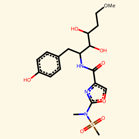 COCCC(O)C(O)C(Cc1ccc(O)cc1)NC(=O)c1coc(N(C)S(C)(=O)=O)n1